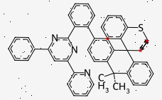 CC1(C)c2ccccc2C2(c3ccccc3Sc3ccccc32)c2cc(-c3ccccc3-c3nc(-c4ccccc4)cc(-c4ccccn4)n3)ccc21